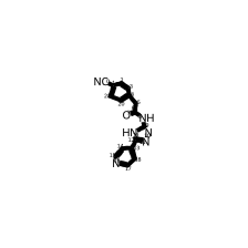 N#Cc1ccc(CC(=O)Nc2nnc(-c3ccncc3)[nH]2)cc1